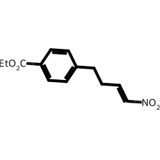 CCOC(=O)c1ccc(CCC=C[N+](=O)[O-])cc1